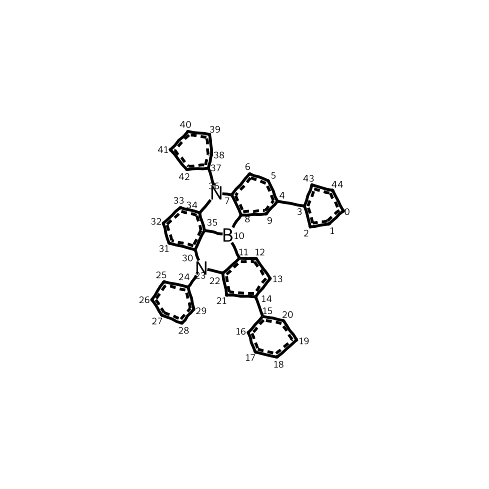 c1ccc(-c2ccc3c(c2)B2c4ccc(-c5ccccc5)cc4N(c4ccccc4)c4cccc(c42)N3c2ccccc2)cc1